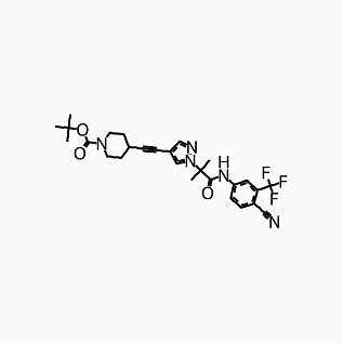 CC(C)(C)OC(=O)N1CCC(C#Cc2cnn(C(C)(C)C(=O)Nc3ccc(C#N)c(C(F)(F)F)c3)c2)CC1